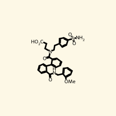 COc1ccccc1CNC(=O)c1ccccc1-c1ccccc1C(=O)N(CCC(=O)O)CCc1ccc(S(N)(=O)=O)cc1